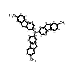 Cc1ccc2c(c1)Cc1cc(B(c3cnc4c(c3)Cc3cc(C)ccc3-4)c3cnc4c(c3)Cc3cc(C)ccc3-4)cnc1-2